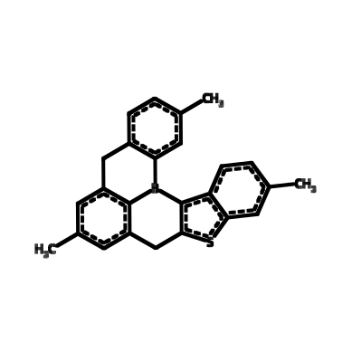 Cc1cc2c3c(c1)Cc1sc4cc(C)ccc4c1B3c1cc(C)ccc1C2